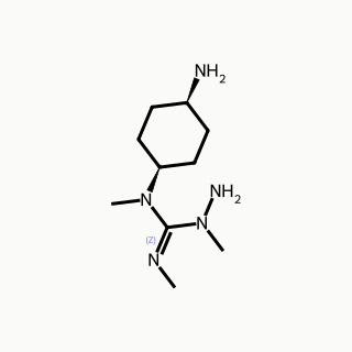 C/N=C(\N(C)N)N(C)[C@H]1CC[C@@H](N)CC1